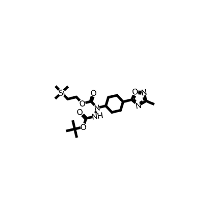 Cc1noc(C2CCC(N(NC(=O)OC(C)(C)C)C(=O)OCC[Si](C)(C)C)CC2)n1